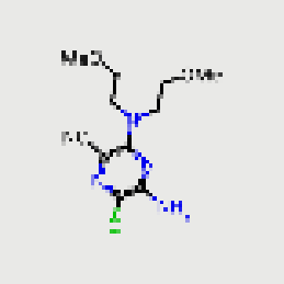 COCCN(CCOC)c1nc(N)c(Cl)nc1C#N